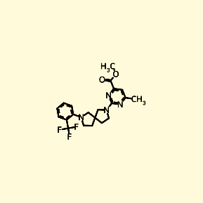 COC(=O)c1cc(C)nc(N2CCC3(CCN(c4ccccc4C(F)(F)F)C3)C2)n1